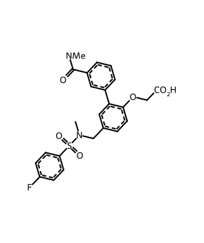 CNC(=O)c1cccc(-c2cc(CN(C)S(=O)(=O)c3ccc(F)cc3)ccc2OCC(=O)O)c1